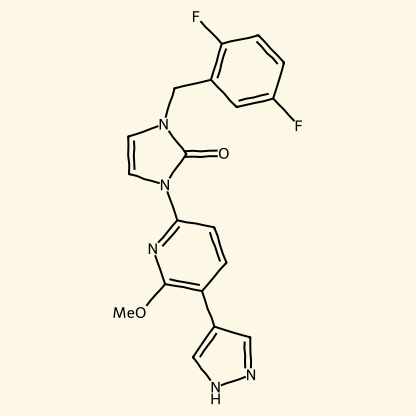 COc1nc(-n2ccn(Cc3cc(F)ccc3F)c2=O)ccc1-c1cn[nH]c1